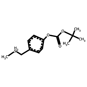 C[SiH2]Cc1ccc(OC(=O)OC(C)(C)C)cc1